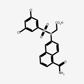 NC(=O)c1cccc2cc(N(CC(=O)O)S(=O)(=O)c3cc(Cl)cc(Cl)c3)ccc12